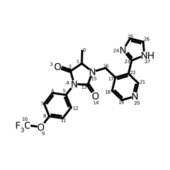 CC1C(=O)N(c2ccc(OC(F)(F)F)cc2)C(=O)N1Cc1ccncc1-c1ncc[nH]1